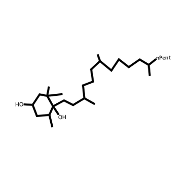 CCCCCC(C)CCCCC(C)CCCC(C)CCC1(O)C(C)CC(O)CC1(C)C